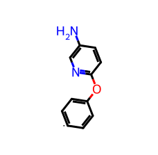 Nc1ccc(Oc2cc[c]cc2)nc1